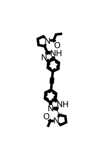 CCC(=O)N1CCCC1c1nc2cc(C#Cc3ccc4nc([C@@H]5CCCN5C(C)=O)[nH]c4c3)ccc2[nH]1